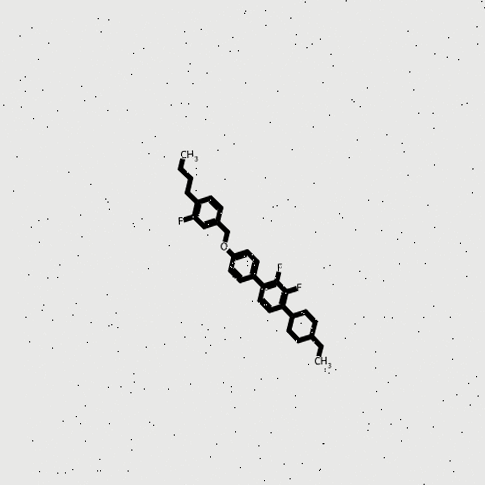 CCCCc1ccc(COc2ccc(-c3ccc(C4CCC(CC)CC4)c(F)c3F)cc2)cc1F